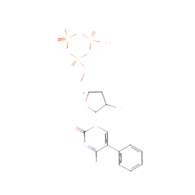 Nc1nc(=O)n([C@@H]2O[C@H](COP3(=O)OP(=O)(O)OP(=O)(O)O3)[C@H](O)C2O)cc1-c1ccccc1